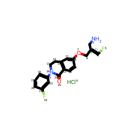 Cl.NC/C(=C\F)COc1ccc2c(c1)CCN(c1cccc(F)c1)C2=O